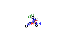 CC(=O)N(Cc1ccc(Cl)c(Cl)c1)C(=O)C(Cc1c[nH]c2ccccc12)NC(=O)CN1CCN(C2CCCCC2)CC1